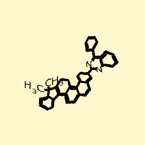 CC1(C)c2ccccc2-c2c1ccc1c2ccc2ccc3cc(-c4nc(-c5ccccc5)c5ccccc5n4)ccc3c21